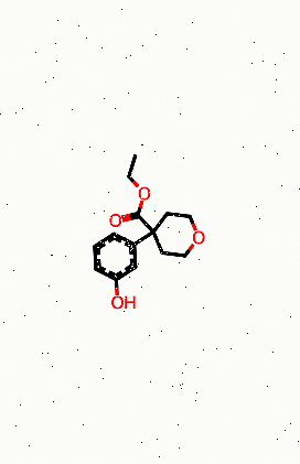 CCOC(=O)C1(c2cccc(O)c2)CCOCC1